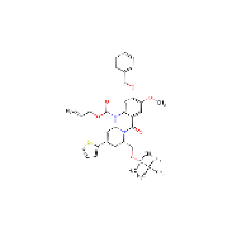 C=CCOC(=O)Nc1cc(OCc2ccccc2)c(OC)cc1C(=O)N1CC=C(c2cccs2)C[C@H]1CO[Si](C)(C)C(C)(C)C